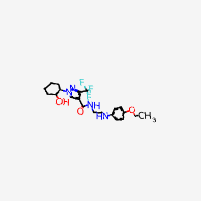 CCOc1ccc(NCCNC(=O)c2cn(C3CCCCC3O)nc2C(F)(F)F)cc1